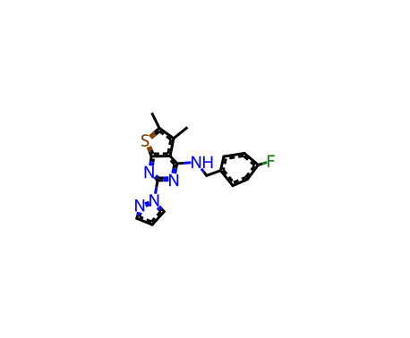 Cc1sc2nc(-n3cccn3)nc(NCc3ccc(F)cc3)c2c1C